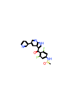 C[S+]([O-])Nc1cc(F)c(C(=O)c2c[nH]c3ncc(-c4cccnc4)cc23)c(F)c1